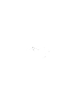 CCCS(=O)(=O)N1CCC(OCCC2C[C@@H]2C2CCNCC2)CC1